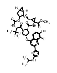 C=C[C@@H]1C[C@]1(NC(=O)[C@@H]1C[C@H](Oc2cc(-c3coc(NC(C)C)n3)nc3c(Cl)c(O)ccc23)CN1C(=O)[C@@H](NC(=O)OC1C[C@@H]2C[C@@H]2C1)C(C)(C)C)C(=O)OC